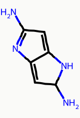 NC1=NC2=CC(N)NC2=C1